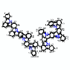 c1ccc2c(c1)c1cccc3c4c5c6cccc7c8cc9c(cc8n(c5ccc4n2c13)c76)c1cccc2c3c4c5ccc(-c6ccc7c8ccccc8n8c7c6c6cc7c%10ccccc%10n%10c%11cc%12c%13c%14c(cc%15c%16cccc%17c%18ccccc%18n(c%17%16)c%15%13)c%13ccccc%13n%14c%12cc%11c(c7%10)c68)c6c7ccccc7n(c4ccc3n9c12)c56